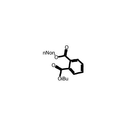 CCCCCCCCCOC(=O)c1ccccc1C(=O)OCC(C)C